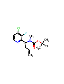 C=CC[C@@H](c1nccc(Cl)c1F)N(C)C(=O)OC(C)(C)C